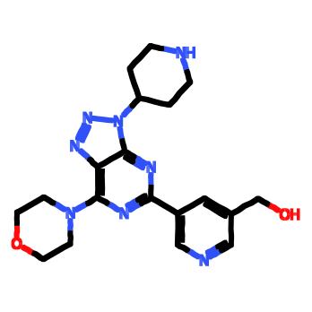 OCc1cncc(-c2nc(N3CCOCC3)c3nnn(C4CCNCC4)c3n2)c1